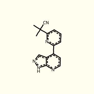 CC(C)(C#N)c1cccc(-c2ccnc3[nH]ncc23)n1